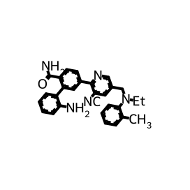 CCN(Cc1cnc(-c2ccc(C(N)=O)c(-c3ccccc3N)c2)c(C#N)c1)c1ccccc1C